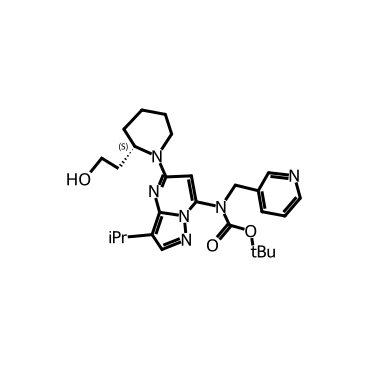 CC(C)c1cnn2c(N(Cc3cccnc3)C(=O)OC(C)(C)C)cc(N3CCCC[C@H]3CCO)nc12